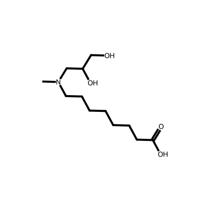 CN(CCCCCCCC(=O)O)CC(O)CO